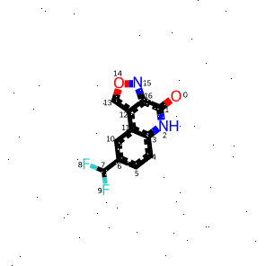 O=c1[nH]c2ccc(C(F)F)cc2c2conc12